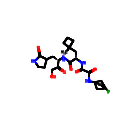 CC1(C[C@H](NC(=O)C(=O)NC23CC(F)(C2)C3)C(=O)N[C@@H](CC2CCNC2=O)C(=O)CO)CCC1